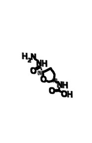 NNC(=O)[C@@H]1CC[C@@H](NC(=O)O)CO1